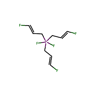 FC=CCP(F)(F)(CC=CF)CC=CF